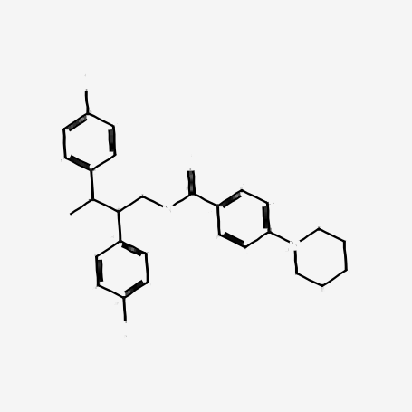 CC(c1ccc(Cl)cc1)C(CNC(=O)c1ccc(N2CCCCC2)cc1)c1ccc(Cl)cc1